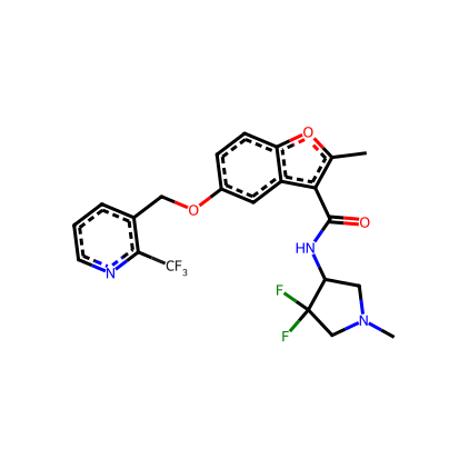 Cc1oc2ccc(OCc3cccnc3C(F)(F)F)cc2c1C(=O)NC1CN(C)CC1(F)F